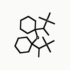 CC(C1(OC2(C(C)[Si](C)(C)C)CCCCC2)CCCCC1)[Si](C)(C)C